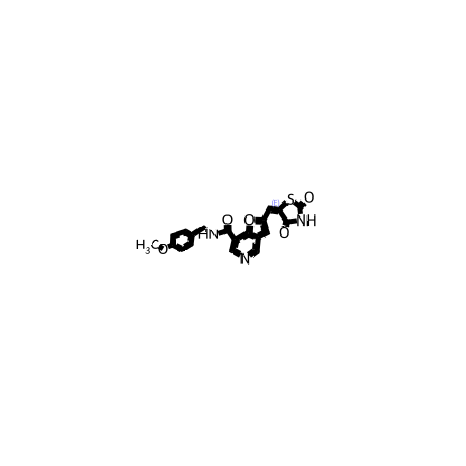 COc1ccc(CNC(=O)c2cncc3cc(/C=C4/SC(=O)NC4=O)oc23)cc1